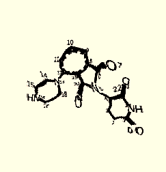 O=C1CCC(N2C(=O)c3cccc(N4CCNCC4)c3C2=O)C(=O)N1